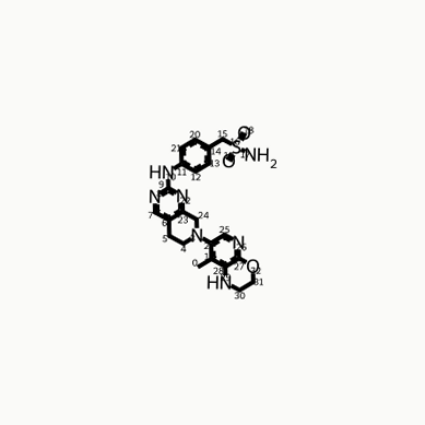 Cc1c(N2CCc3cnc(Nc4ccc(CS(N)(=O)=O)cc4)nc3C2)cnc2c1NCCO2